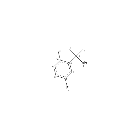 CCCC(C)(C)c1cc(F)ccc1C